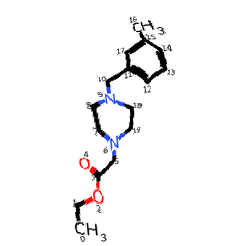 CCOC(=O)CN1CCN(Cc2cccc(C)c2)CC1